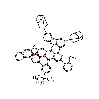 Cc1ccccc1-c1cc2c3c(c1)N(c1ccc(C(C)(C)C)cc1-c1ccccc1)c1cc4c(cc1B3n1c3ccc(C56CC7CC(CC(C7)C5)C6)cc3c3cc(C56CC7CC(CC(C7)C5)C6)cc-2c31)sc1cc2ccccc2cc14